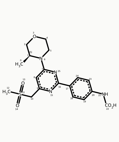 C[C@H]1COCCN1c1cc(CS(C)(=O)=O)nc(-c2ccc(NC(=O)O)cc2)n1